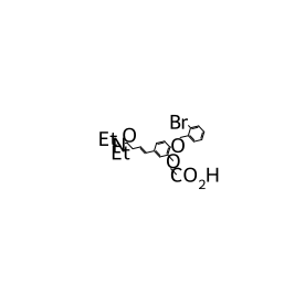 CCN(CC)C(=O)C/C=C/c1ccc(OCc2ccccc2Br)c(OCC(=O)O)c1